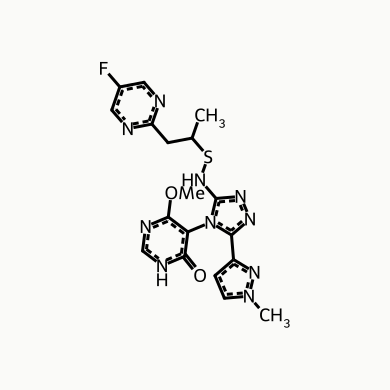 COc1nc[nH]c(=O)c1-n1c(NSC(C)Cc2ncc(F)cn2)nnc1-c1ccn(C)n1